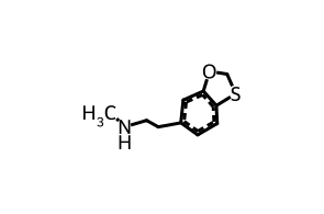 CNCCc1ccc2c(c1)OCS2